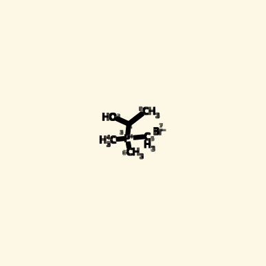 CC(O)[P+](C)(C)C.[Br-]